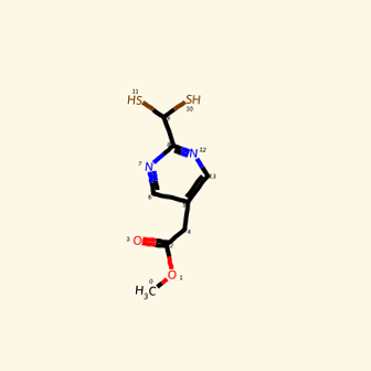 COC(=O)Cc1cnc(C(S)S)nc1